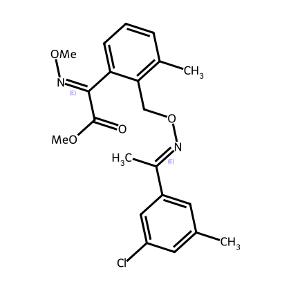 CO/N=C(/C(=O)OC)c1cccc(C)c1CO/N=C(\C)c1cc(C)cc(Cl)c1